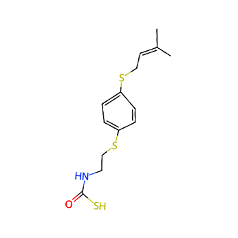 CC(C)=CCSc1ccc(SCCNC(=O)S)cc1